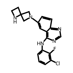 Fc1c(Cl)cccc1Nc1ncnc2ccc(N3CC4(CCN4)C3)cc12